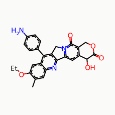 CCOc1cc2c(-c3ccc(N)cc3)c3c(nc2cc1C)-c1cc2c(c(=O)n1C3)COC(=O)C2O